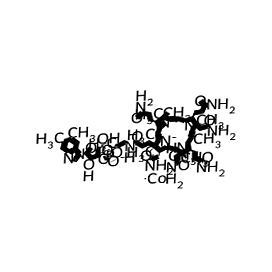 C/C1=C2/[N-][C@H]([C@H](CC(N)=O)[C@@]2(C)CCC(=O)NC[C@@H](C)OP(=O)([O-])O[C@H]2[C@@H](O)[C@@H](n3cnc4cc(C)c(C)cc43)O[C@@H]2CO)[C@]2(C)N=C(/C(C)=C3N=C(/C=C4N=C1[C@@H](CCC(N)=O)C\4(C)C)[C@@H](CCC(N)=O)[C@]\3(C)CC(N)=O)[C@@H](CCC(N)=O)[C@]2(C)CC(N)=O.[Co]